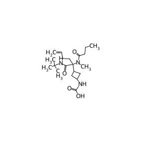 C=CCCC(C(=O)NC(C)(C)C)(C1CC(NC(=O)O)C1)N(C)C(=O)CCC